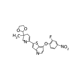 CC1(C2OCCO2)C=NC(c2cc3nccc(Oc4ccc([N+](=O)[O-])cc4F)c3s2)=CC1